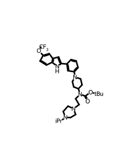 CC(C)N1CCN(CCN(C(=O)OC(C)(C)C)C2CCN(c3cccc(-c4cc5cc(OC(F)(F)F)ccc5[nH]4)c3)CC2)CC1